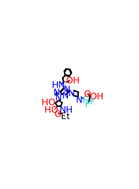 CCC(=O)N[C@H]1C[C@@H](n2cnc3c(N[C@H](CO)Cc4ccccc4)nc(N4CC[C@@H](N(C)C)C4)nc32)[C@H](O)[C@@H]1O.O=C(O)C(F)(F)F